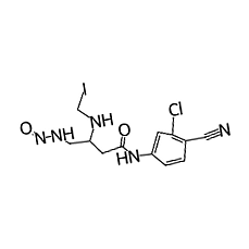 N#Cc1ccc(NC(=O)CC(CNN=O)NCI)cc1Cl